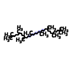 CC(C)=CCCC(C)CCCC(C)C/C=C/C(C)=C/C=C/C=C(C)/C=C/CC(C)CCCC(C)CCC=C(C)C